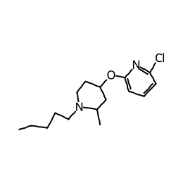 CCCCCN1CCC(Oc2cccc(Cl)n2)CC1C